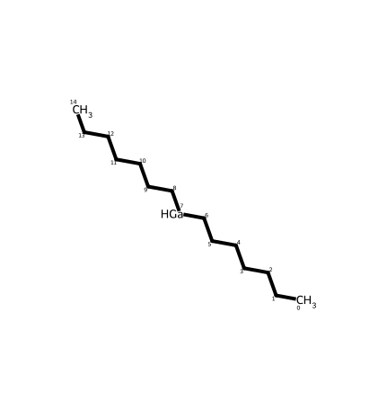 CCCCCC[CH2][GaH][CH2]CCCCCC